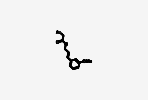 COc1cccc(C=CCOC(=O)CC(C)=O)c1